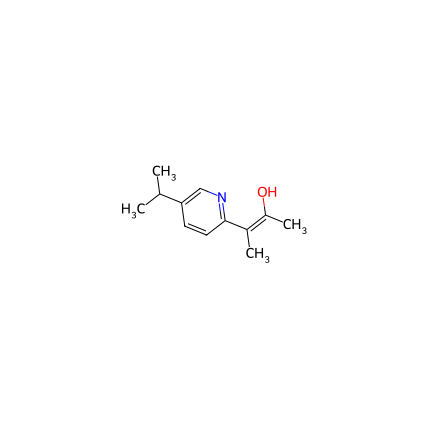 C/C(O)=C(\C)c1ccc(C(C)C)cn1